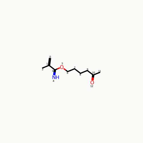 C=C(C)C(=N)OCCCCC(C)=O